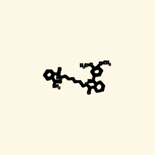 COc1ccc(C2=NN(CCCCCCNC(=O)c3ccccc3C(N)=O)C(=O)C3CC=CCC23)cc1OC